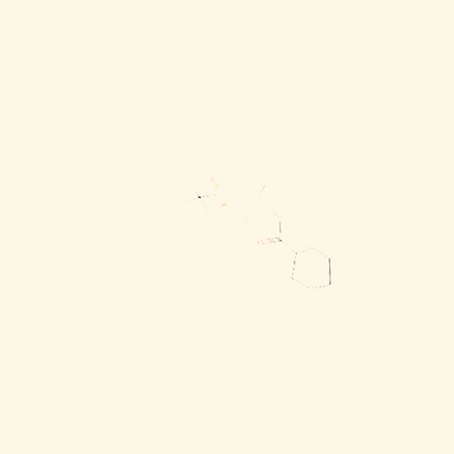 CS(C)(CC(=O)C1CCCCC1)OS(=O)(=O)C(F)(F)F